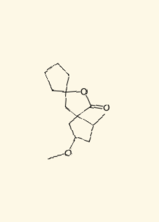 COC1CC(C)C2(C1)CC1(CCCC1)OC2=O